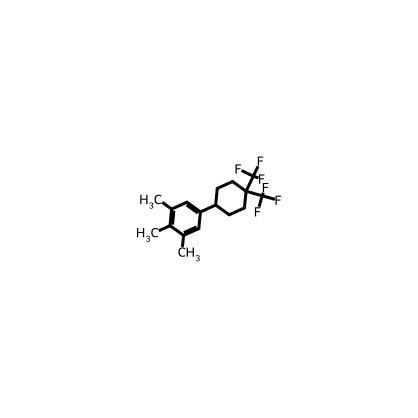 Cc1cc(C2CCC(C(F)(F)F)(C(F)(F)F)CC2)cc(C)c1C